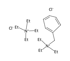 CC[N+](CC)(CC)CC.CC[N+](CC)(CC)Cc1ccccc1.[Cl-].[Cl-]